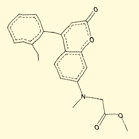 COC(=O)CN(C)c1ccc2c(-c3ccccc3C)cc(=O)oc2c1